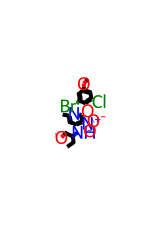 CCC(COC)Nc1cc(C)nc(Oc2c(Cl)cc(OC)cc2Br)c1[N+](=O)[O-]